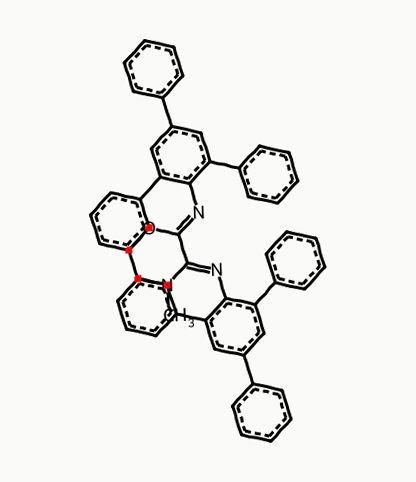 CN1CCOC(=N\c2c(-c3ccccc3)cc(-c3ccccc3)cc2-c2ccccc2)/C1=N/c1c(-c2ccccc2)cc(-c2ccccc2)cc1-c1ccccc1